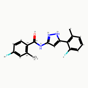 Cc1cccc(F)c1-c1cc(NC(=O)c2ccc(F)cc2[N+](=O)[O-])n[nH]1